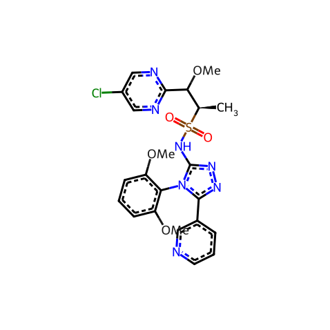 COc1cccc(OC)c1-n1c(NS(=O)(=O)[C@H](C)C(OC)c2ncc(Cl)cn2)nnc1-c1cccnc1